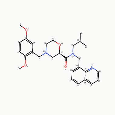 COc1ccc(OC)c(CN2CCO[C@@H](C(=O)N(Cc3cccc4cccnc34)CC(C)C)C2)c1